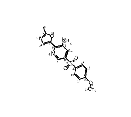 [CH2]c1nnc(-c2ncc(S(=O)(=O)c3ccc(OC(F)(F)F)cc3)cc2N)o1